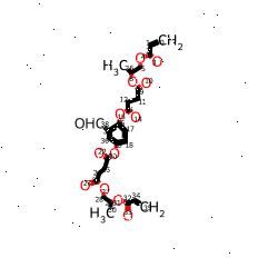 C=CC(=O)OCC(C)OC(=O)CCC(=O)Oc1ccc(OC(=O)CCC(=O)OCC(C)OC(=O)C=C)cc1C=O